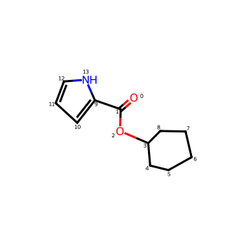 O=C(OC1CCCCC1)c1ccc[nH]1